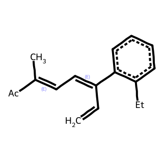 C=C/C(=C\C=C(/C)C(C)=O)c1ccccc1CC